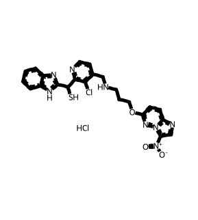 Cl.O=[N+]([O-])c1cnc2ccc(OCCCNCc3ccnc(C(S)c4nc5ccccc5[nH]4)c3Cl)nn12